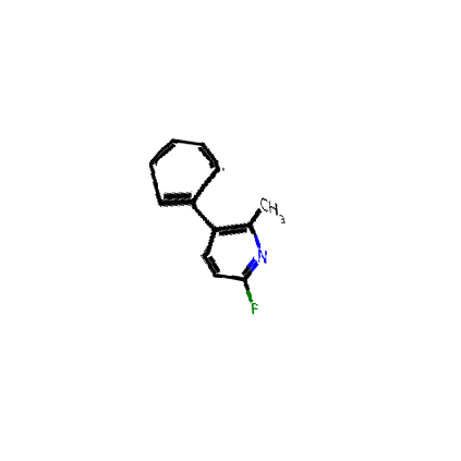 Cc1nc(F)ccc1-c1[c]cccc1